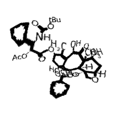 CC(=O)O[C@@H](C(=O)O[C@H]1C[C@]2(O)[C@]3(C)C(=C1C)[C@@H](O)C(=O)[C@@]1(C)[C@@H]([C@]4(OC(C)=O)CO[C@@H]4C[C@@H]1O)[C@@]23OC(=O)c1ccccc1)[C@@H](NC(=O)OC(C)(C)C)c1ccccc1